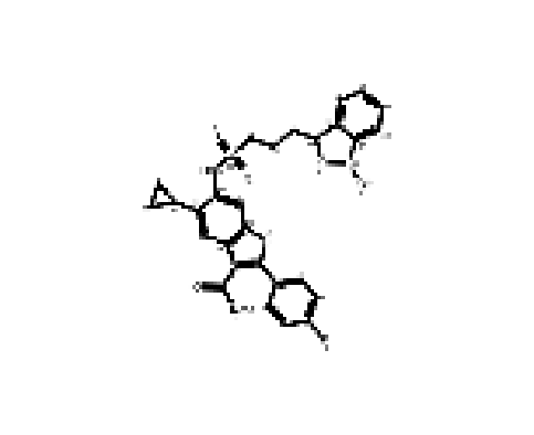 CNC(=O)c1c(-c2ccc(F)cc2)oc2cc(NS(=O)(=O)CCCC3OB(O)c4ccccc43)c(C3CC3)cc12